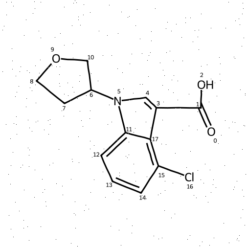 O=C(O)c1cn(C2CCOC2)c2cccc(Cl)c12